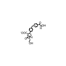 O=C(NO)c1cc[n+](Cc2ccc(C3S[C@@H]4[C@@H](CCO)C(=O)N4C3C(=O)[O-])cc2)cc1